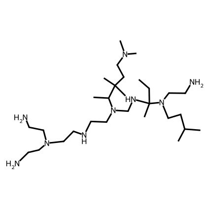 CCC(C)(NCN(CCNCCN(CCN)CCN)C(C)C(C)(C)CCN(C)C)N(CCN)CCC(C)C